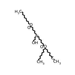 CCCCCCCCCOC(=O)CCCCCN(CCCO)CCCCCC(=O)OC(CCCCCCCC)CCCCCCCC